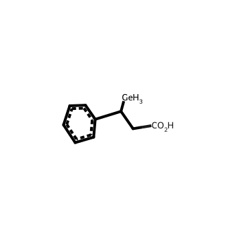 O=C(O)C[CH]([GeH3])c1ccccc1